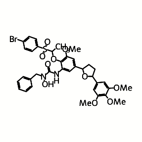 COc1cc(C2CCC(c3cc(OC)c(OC)c(OC)c3)O2)cc(NC(=O)N(O)Cc2ccccc2)c1OC(C)S(=O)(=O)c1ccc(Br)cc1